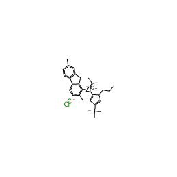 CCCC1C=C(C(C)(C)C)C=[C]1[Zr+2](=[C](C)C)[c]1c(C)ccc2c1Cc1cc(C)ccc1-2.[Cl-].[Cl-]